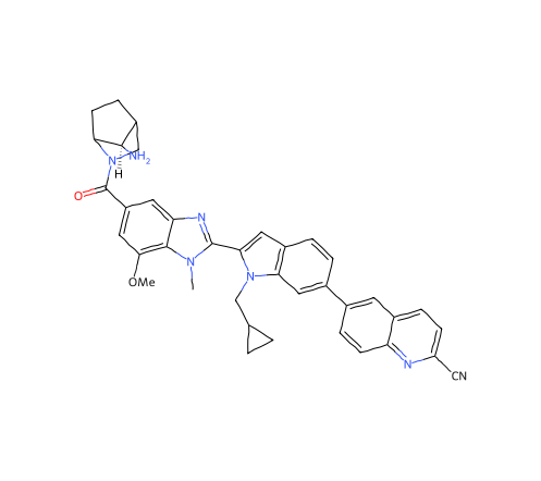 COc1cc(C(=O)N2CC3CCC2[C@@H]3N)cc2nc(-c3cc4ccc(-c5ccc6nc(C#N)ccc6c5)cc4n3CC3CC3)n(C)c12